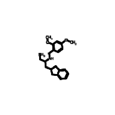 COc1ccc(CNC(CN)CC2Cc3ccccc3C2)c(OC)c1